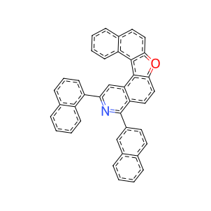 c1ccc2cc(-c3nc(-c4cccc5ccccc45)cc4c3ccc3oc5ccc6ccccc6c5c34)ccc2c1